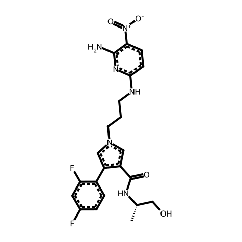 C[C@@H](CO)NC(=O)c1cn(CCCNc2ccc([N+](=O)[O-])c(N)n2)cc1-c1ccc(F)cc1F